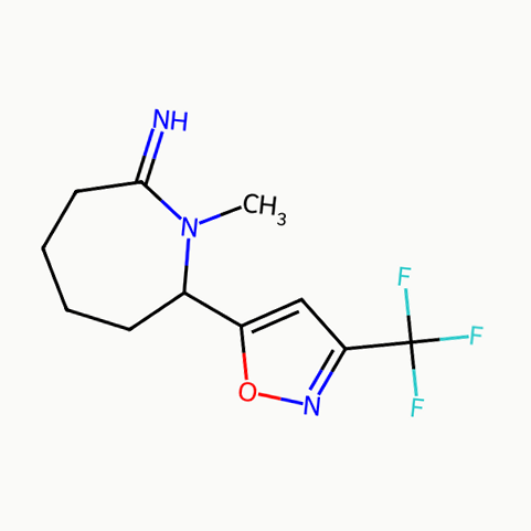 CN1C(=N)CCCCC1c1cc(C(F)(F)F)no1